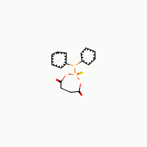 O=C1CCC(=O)OP(=S)(P(c2ccccc2)c2ccccc2)O1